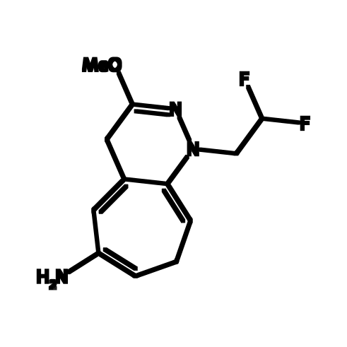 COC1=NN(CC(F)F)C2=CCC=C(N)C=C2C1